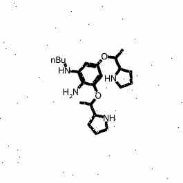 CCCCNc1cc(OC(C)C2CCCN2)cc(OC(C)C2CCCN2)c1N